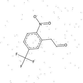 O=CCc1cc(C(F)(F)F)ccc1[N+](=O)[O-]